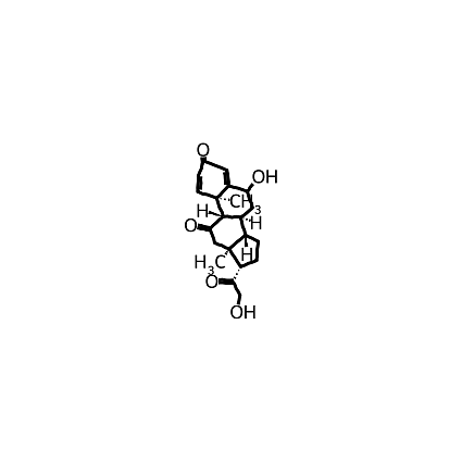 C[C@]12CC(=O)[C@H]3[C@@H](CC(O)C4=CC(=O)C=C[C@@]43C)[C@@H]1CC[C@@H]2C(=O)CO